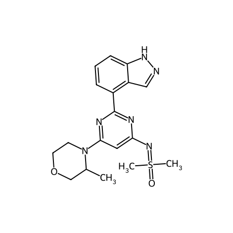 CC1COCCN1c1cc(N=S(C)(C)=O)nc(-c2cccc3[nH]ncc23)n1